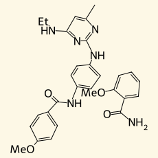 CCNc1cc(C)nc(Nc2ccc(NC(=O)c3ccc(OC)cc3)cc2)n1.COc1ccccc1C(N)=O